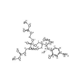 COC[C@](COP(=O)(OCOC(=O)OC(C)C)OCOC(=O)OC(C)C)(OC)[C@@H](O)[C@@H](F)n1ccc(N)nc1=O